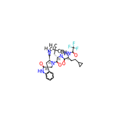 CN(C(=O)[C@H](CCC1CC1)NC(=O)C(F)(F)F)[C@@H](CC(C)(C)C)C(=O)N1C[C@]2(C[C@H]1C#N)C(=O)Nc1ccccc12